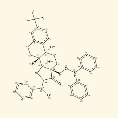 CC(C)(C)c1ccc2c(c1)CC[C@@H]1[C@@H]2CC[C@]2(CO[SiH](c3ccccc3)c3ccccc3)C(=O)C([S+]([O-])c3ccccc3)C[C@@H]12